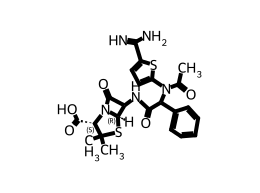 CC(=O)N(c1ccc(C(=N)N)s1)C(C(=O)NC1C(=O)N2[C@@H]1SC(C)(C)[C@@H]2C(=O)O)c1ccccc1